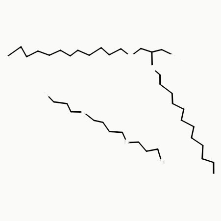 CCCCCCCCCCCCOCC(CN)OCCCCCCCCCCCC.NCCCNCCCCNCCCN